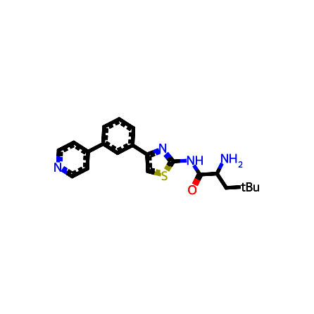 CC(C)(C)CC(N)C(=O)Nc1nc(-c2cccc(-c3ccncc3)c2)cs1